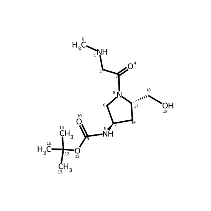 CNCC(=O)N1C[C@H](NC(=O)OC(C)(C)C)C[C@H]1CO